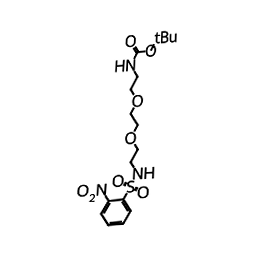 CC(C)(C)OC(=O)NCCOCCOCCNS(=O)(=O)c1ccccc1[N+](=O)[O-]